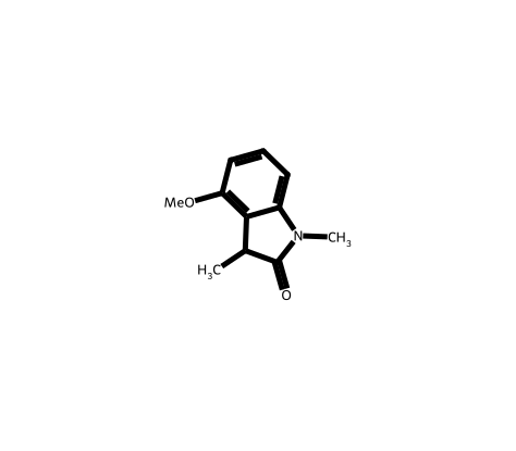 COc1cccc2c1C(C)C(=O)N2C